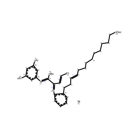 CC/C=C/C(=N\c1ccccc1CC/C=C/CCCCCCCCCCCCCCCCCCC)C(/CCCC)=N/c1cc(CCC)cc(CCC)c1.[Ni]